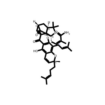 CC(C)=CCC[C@]1(C)C=Cc2c(O)c3c(c(CC=C(C)C)c2O1)O[C@]12C(=C[C@@H]4C[C@H]1C(C)(C)O[C@@]2(C/C=C(/C)C(N)=O)C4=O)C3=O